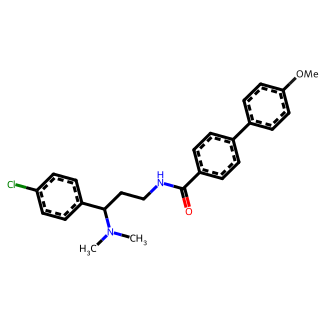 COc1ccc(-c2ccc(C(=O)NCCC(c3ccc(Cl)cc3)N(C)C)cc2)cc1